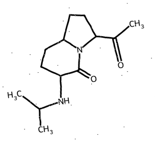 CC(=O)C1CCC2CCC(NC(C)C)C(=O)N21